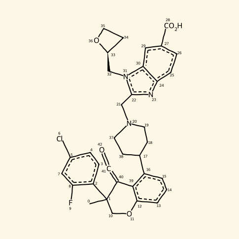 CC1(c2ccc(Cl)cc2F)COc2cccc(C3CCN(Cc4nc5ccc(C(=O)O)cc5n4C[C@@H]4CCO4)CC3)c2C1=C=O